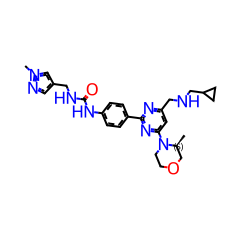 C[C@H]1COCCN1c1cc(CNCC2CC2)nc(-c2ccc(NC(=O)NCc3cnn(C)c3)cc2)n1